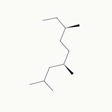 CC[C@@H](C)CC[C@@H](C)CC(C)C